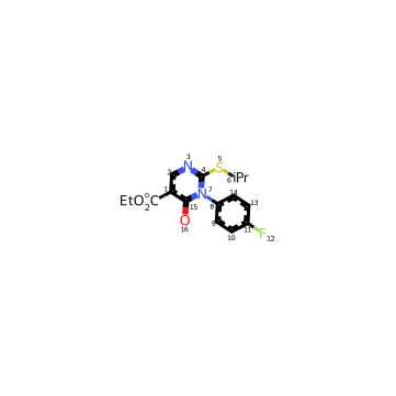 CCOC(=O)c1cnc(SC(C)C)n(-c2ccc(F)cc2)c1=O